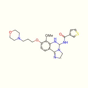 COc1c(OCCCN2CCOCC2)ccc2c1NC(NC(=O)c1ccsc1)N1C[C]N=C21